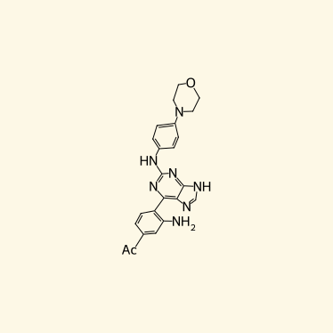 CC(=O)c1ccc(-c2nc(Nc3ccc(N4CCOCC4)cc3)nc3[nH]cnc23)c(N)c1